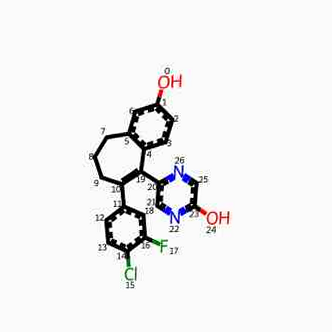 Oc1ccc2c(c1)CCCC(c1ccc(Cl)c(F)c1)=C2c1cnc(O)cn1